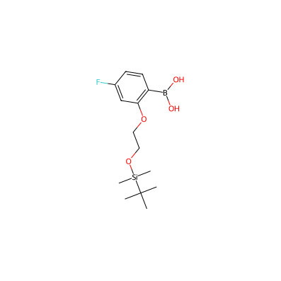 CC(C)(C)[Si](C)(C)OCCOc1cc(F)ccc1B(O)O